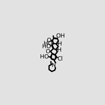 CC1=C(O)C[C@@H]2C[C@@H]3Cc4c(Cl)c(CN5CCCCCC5C)cc(O)c4C(=O)C3=C(O)[C@]2(O)C1=O